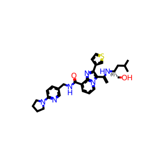 C=C(N[C@@H](CO)CC(C)C)c1c(-c2ccsc2)nc2c(C(=O)NCc3ccc(N4CCCC4)nc3)cccn12